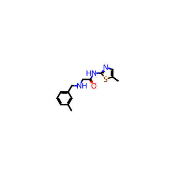 Cc1cccc(CNCC(=O)Nc2ncc(C)s2)c1